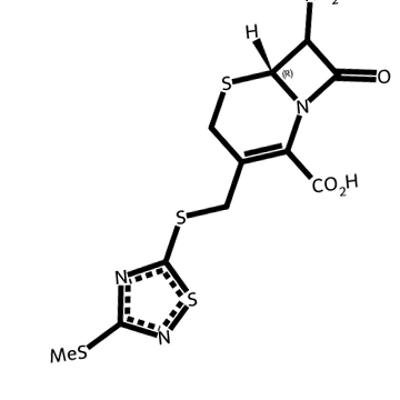 CSc1nsc(SCC2=C(C(=O)O)N3C(=O)C(N)[C@H]3SC2)n1